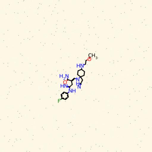 COCCNC1CCC(CC#N)(N/C=C(\CC(=N)Nc2ccc(F)cc2)C(N)=O)CC1